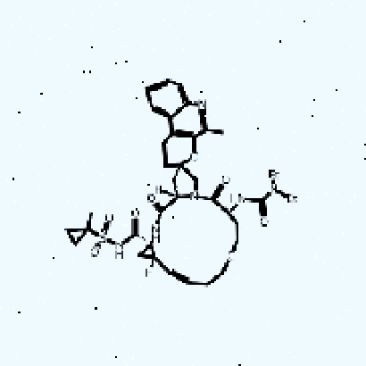 CCN(CC)C(=O)N[C@H]1CCCCCC=C[C@@H]2C[C@@]2(C(=O)NS(=O)(=O)C2(C)CC2)NC(=O)[C@@H]2C[C@]3(CCc4c(c(C)nc5ccccc45)O3)CN2C1=O